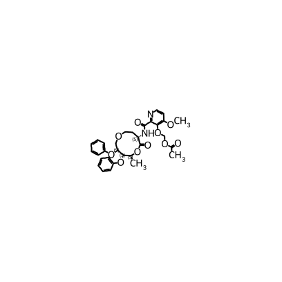 COc1ccnc(C(=O)N[C@H]2CCOC[C@H](Oc3ccccc3)[C@@H](Oc3ccccc3)[C@H](C)OC2=O)c1OCOC(C)=O